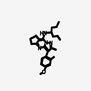 CCCC(CCC)Nc1c2c(nc3c(-c4ccc(OC)cc4C)c(C)nn13)CCC2